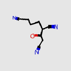 N#CCCCC(C#N)C(=O)CC#N